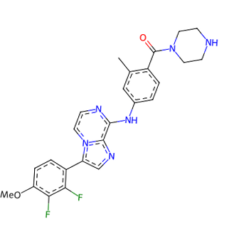 COc1ccc(-c2cnc3c(Nc4ccc(C(=O)N5CCNCC5)c(C)c4)nccn23)c(F)c1F